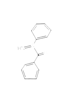 N=S(C(=O)c1ccccc1)c1ccccc1